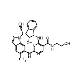 C#CCn1ncc2cc(C)c(Nc3ncc(C(=O)NCCO)c(N[C@H]4c5ccccc5C[C@H]4O)n3)cc21